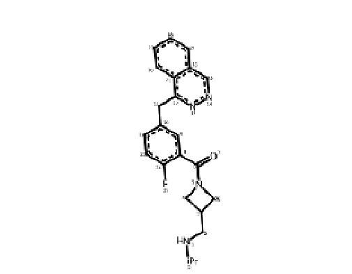 CC(C)NCC1CN(C(=O)c2cc(Cc3nncc4ccccc34)ccc2F)C1